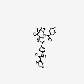 COC(=O)c1sc(-c2ccc(NC(=O)c3cscn3)cc2)cc1N(C(=O)C1CCC(C)CC1)C1CCC1